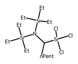 CCCCCC(N([Si](CC)(CC)CC)[Si](CC)(CC)CC)[Si](Cl)(Cl)Cl